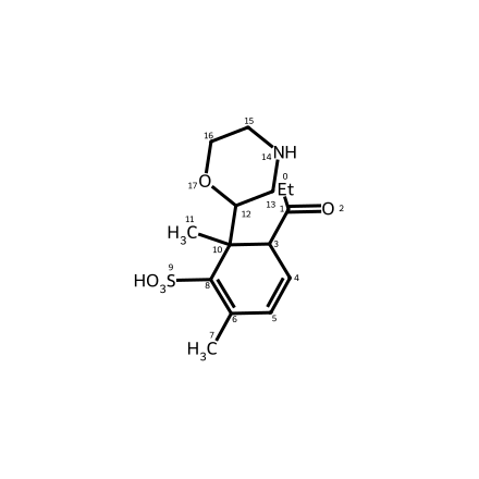 CCC(=O)C1C=CC(C)=C(S(=O)(=O)O)C1(C)C1CNCCO1